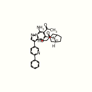 CC(=O)c1c([C@H]2CC3CC[C@@H](C2)N3C(=O)CO)nc2c(-c3ccc(-c4ccccc4)nc3)cnn2c1N